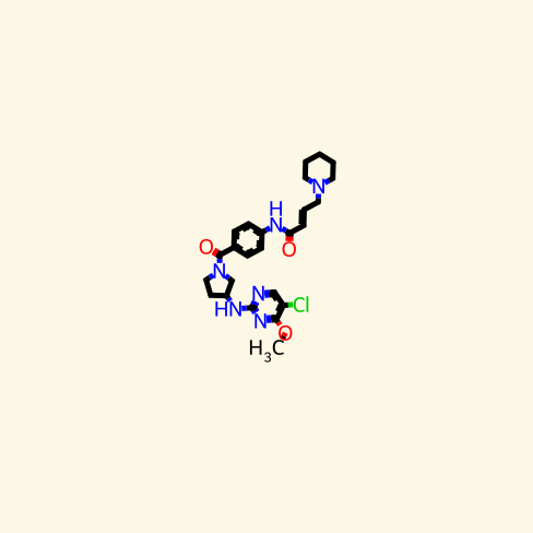 COc1nc(NC2CCN(C(=O)c3ccc(NC(=O)/C=C/CN4CCCCC4)cc3)C2)ncc1Cl